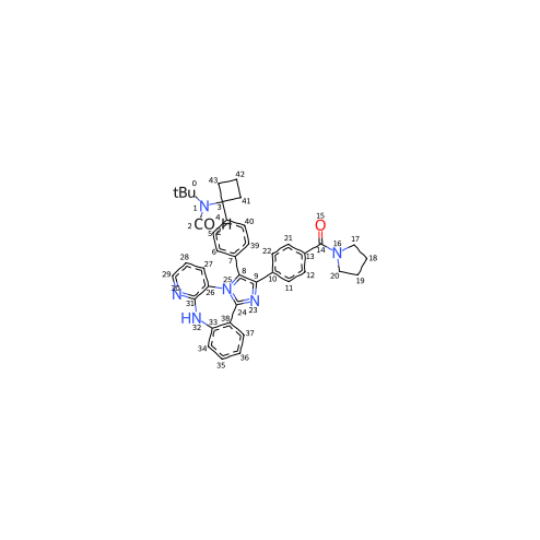 CC(C)(C)N(C(=O)O)C1(c2ccc(-c3c(-c4ccc(C(=O)N5CCCC5)cc4)nc4n3-c3cccnc3Nc3ccccc3-4)cc2)CCC1